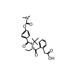 CCN(C(=O)c1ccccc1CC(=O)O)N(C(=O)c1ccc(OC(=O)N(C)C)cc1)C(C)(C)C